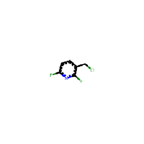 Fc1ccc(CCl)c(F)n1